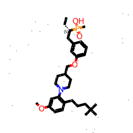 CC[C@@H](Cc1cccc(OCC2CCN(c3cc(OC)ccc3CCCC(C)(C)C)CC2)c1)P(C)(=O)O